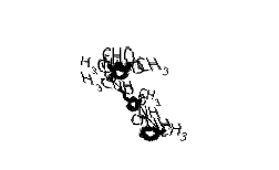 COC(=O)c1ccc(OC(C)NCC(=O)Cc2ccc(NC(=O)Nc3ccccc3C)c(OC)c2)c(N(C)C)c1